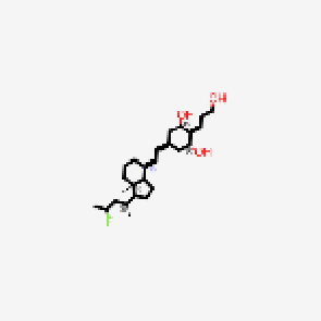 CC(F)C[C@H](C)C1CCC2/C(=C/C=C3C[C@@H](O)C(=CCCO)[C@H](O)C3)CCC[C@@]21C